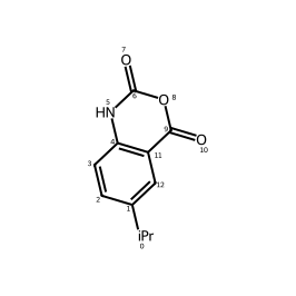 CC(C)c1ccc2[nH]c(=O)oc(=O)c2c1